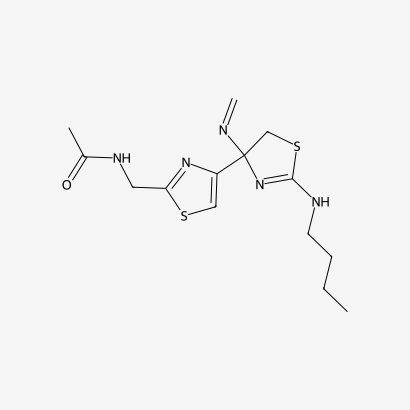 C=NC1(c2csc(CNC(C)=O)n2)CSC(NCCCC)=N1